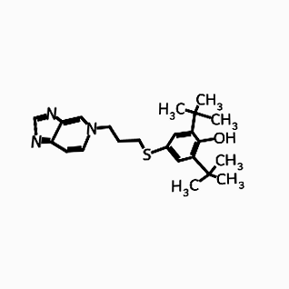 CC(C)(C)c1cc(SCCCn2ccc3ncnc-3c2)cc(C(C)(C)C)c1O